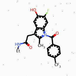 CCNC(=O)Cc1c(C)n(C(=O)c2ccc(C(F)(F)F)cc2)c2cc(F)c(O)cc12